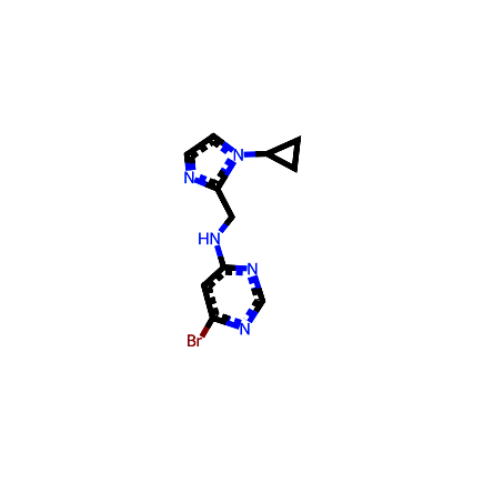 Brc1cc(NCc2nccn2C2CC2)ncn1